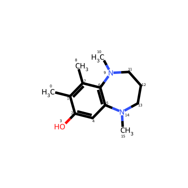 Cc1c(O)cc2c(c1C)N(C)CCCN2C